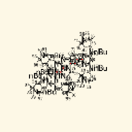 CCCCN(c1nc(NCCN(CCNc2nc(N(CCCC)C3CC(C)(C)N(C)C(C)(C)C3)nc(N(CCCC)C3CC(C)(C)N(C)C(C)(C)C3)n2)CCNc2nc(N(CCCC)C3CC(C)(C)N(C)C(C)(C)C3)nc(N(CCCC)C3CC(C)(C)N(C)C(C)(C)C3)n2)nc(N(CCCC)C2CC(C)(C)N(C)C(C)(C)C2)n1)C1CC(C)(C)N(C)C(C)(C)C1